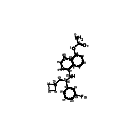 NC(=O)Oc1cccc2c(N[C@H](CN3CCC3)c3cccc(F)c3)ncnc12